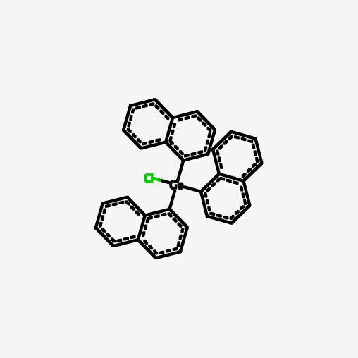 [Cl][Ge]([c]1cccc2ccccc12)([c]1cccc2ccccc12)[c]1cccc2ccccc12